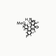 COc1ccc(-c2cc(F)ccc2C2Cc3nc(N)nc(C)c3C(=O)N2C)cn1